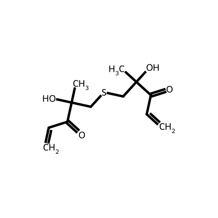 C=CC(=O)C(C)(O)CSCC(C)(O)C(=O)C=C